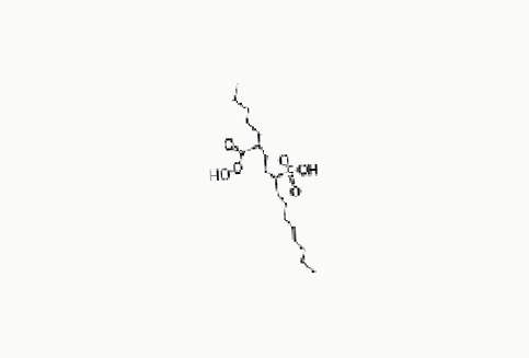 CCCCCCCCC(CCC(CCCCC)C(=O)OO)S(=O)(=O)O